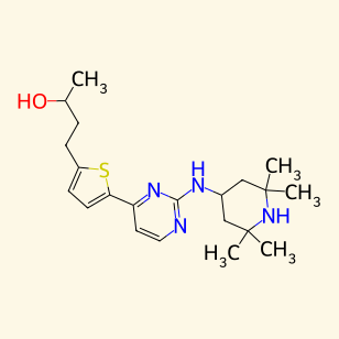 CC(O)CCc1ccc(-c2ccnc(NC3CC(C)(C)NC(C)(C)C3)n2)s1